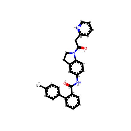 CCc1ccc(-c2ccccc2C(=O)Nc2ccc3c(c2)CCN3C(=O)Cc2ccccn2)cc1